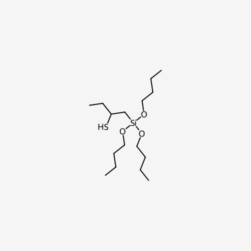 CCCCO[Si](CC(S)CC)(OCCCC)OCCCC